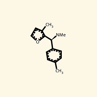 CN[C@@H](c1ccc(C)cc1)c1occc1C